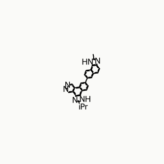 Cc1nc2ccc3cc(-c4ccc5c(c4)c4cnncc4c4nc(C(C)C)[nH]c54)ccc3c2[nH]1